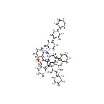 c1ccc(-c2ccc(-c3ccc(N(c4cccc(-c5ccccc5)c4)c4cccc5oc6c7ccccc7c(-c7cccc(-c8ccccc8)c7)cc6c45)cc3)cc2)cc1